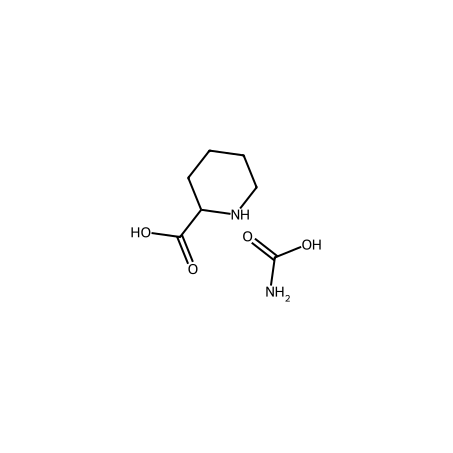 NC(=O)O.O=C(O)C1CCCCN1